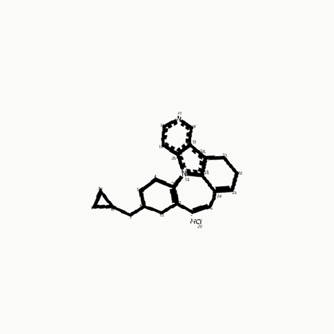 C1=CC2=C(CCC(CC3CC3)C2)n2c3c(c4cnccc42)CCC=C13.Cl